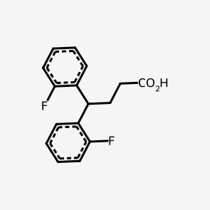 O=C(O)CCC(c1ccccc1F)c1ccccc1F